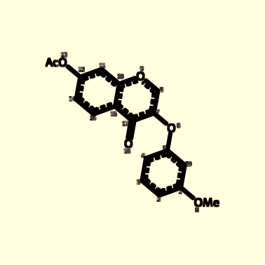 COc1cccc(Oc2coc3cc(OC(C)=O)ccc3c2=O)c1